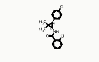 CC1(C)[C@@H](NC(=O)c2ccccc2Cl)[C@@H]1c1ccc(Cl)cc1